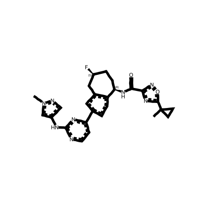 Cn1cc(Nc2nccc(-c3ccc4c(c3)C[C@@H](F)CC[C@H]4NC(=O)c3noc(C4(C)CC4)n3)n2)cn1